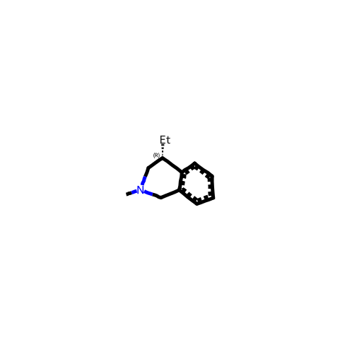 CC[C@H]1CN(C)Cc2ccccc21